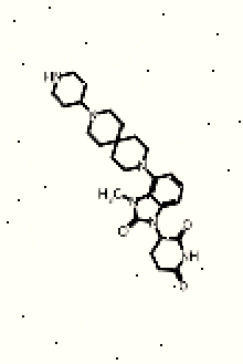 Cn1c(=O)n(C2CCC(=O)NC2=O)c2cccc(N3CCC4(CC3)CCN(C3CCNCC3)CC4)c21